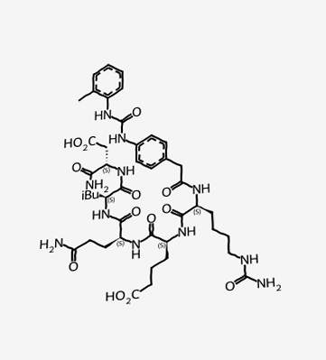 CCC(C)[C@H](NC(=O)[C@H](CCC(N)=O)NC(=O)[C@H](CCCC(=O)O)NC(=O)[C@H](CCCCNC(N)=O)NC(=O)Cc1ccc(NC(=O)Nc2ccccc2C)cc1)C(=O)N[C@@H](CC(=O)O)C(N)=O